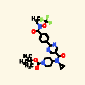 CCN(OC(F)(F)F)C(=O)c1ccc(-c2ncc(C(=O)N(C3CC3)C3CCN(C(=O)OC(C)(C)C)CC3)cn2)cc1